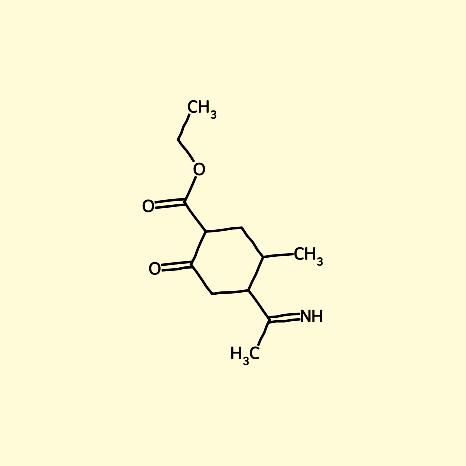 CCOC(=O)C1CC(C)C(C(C)=N)CC1=O